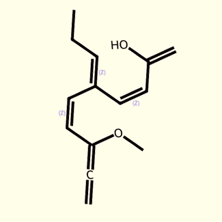 C=C=C(\C=C/C(/C=C\C(=C)O)=C\CC)OC